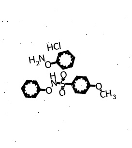 COc1ccc(S(=O)(=O)NOc2ccccc2)cc1.Cl.NOc1ccccc1